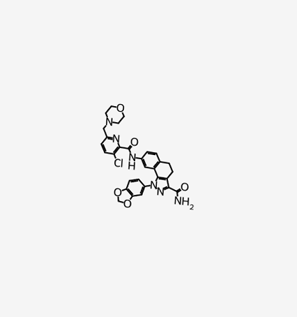 NC(=O)c1nn(-c2ccc3c(c2)OCO3)c2c1CCc1ccc(NC(=O)c3nc(CN4CCOCC4)ccc3Cl)cc1-2